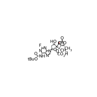 C#C[C@@]1(C(C)(OC(=O)O)c2oc(=O)oc2C)O[C@@H](n2cnc3c(NC(=O)OC(C)(C)C)nc(F)nc32)C[C@@H]1O